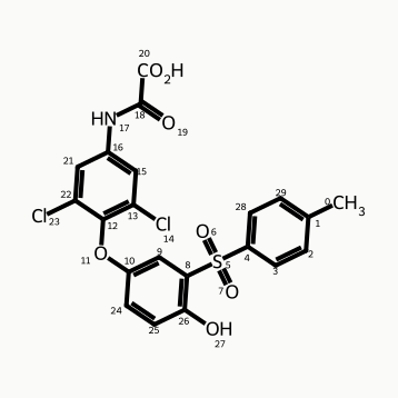 Cc1ccc(S(=O)(=O)c2cc(Oc3c(Cl)cc(NC(=O)C(=O)O)cc3Cl)ccc2O)cc1